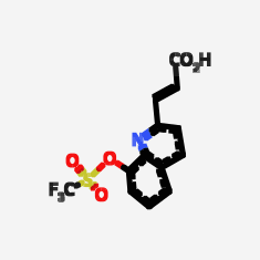 O=C(O)/C=C/c1ccc2cccc(OS(=O)(=O)C(F)(F)F)c2n1